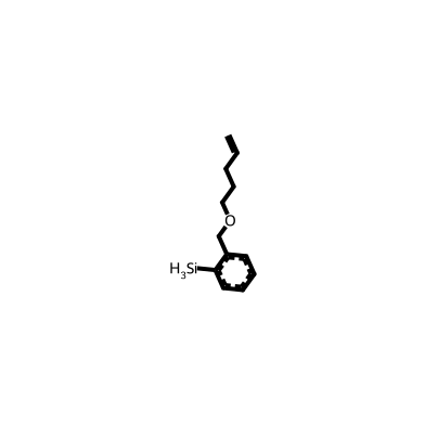 C=CCCCOCc1ccccc1[SiH3]